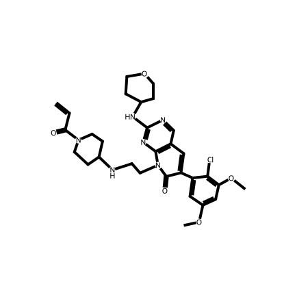 C=CC(=O)N1CCC(NCCn2c(=O)c(-c3cc(OC)cc(OC)c3Cl)cc3cnc(NC4CCOCC4)nc32)CC1